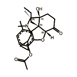 CCC[C@]12c3c(C)ccc(OC(C)=O)c3O[C@H]1C(=O)CC[C@@]2(O)[C@@H](C)N(C)CC1CC1